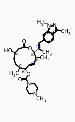 C/C(=C\c1ccc2c(C)nn(C)c2c1)[C@H]1OC(=O)C[C@H](O)CC[C@H](C)[C@@H](OC(=O)N2CCN(C)CC2)/C=C/[C@@H]1C